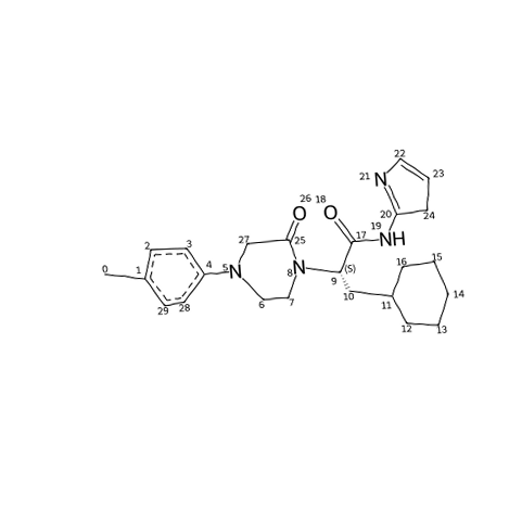 Cc1ccc(N2CCN([C@@H](CC3CCCCC3)C(=O)NC3=NC=CC3)C(=O)C2)cc1